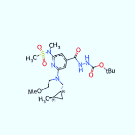 COCCN(C[C@@H]1C[C@H]1C)c1cc(C(=O)NNC(=O)OC(C)(C)C)cc(N(C)S(C)(=O)=O)n1